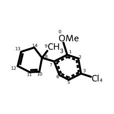 COc1cc(Cl)ccc1C1(C)C=CC=CC1